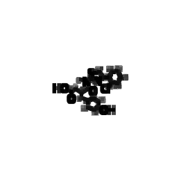 CN(C(=O)C(CC(=O)O)Cc1ccc(O)cc1)c1nc(-c2ccccc2Cl)cs1